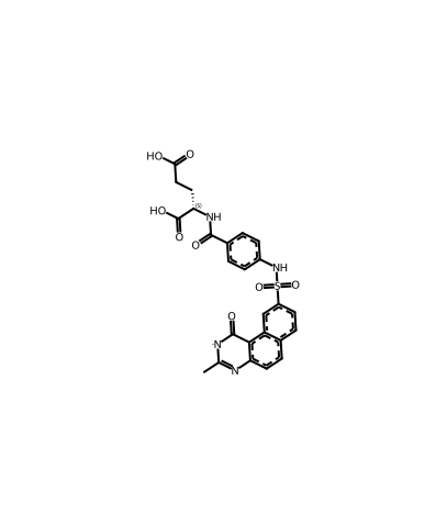 CC1=Nc2ccc3ccc(S(=O)(=O)Nc4ccc(C(=O)N[C@@H](CCC(=O)O)C(=O)O)cc4)cc3c2C(=O)[N]1